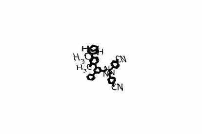 Cc1cc(C2(C)C[C@@H]3CC[C@@H](C3)C2)ccc1-c1cc(-c2ccccc2)cc(-c2nc(-c3ccc(C#N)cc3)nc(-c3ccc(C#N)cc3)n2)c1